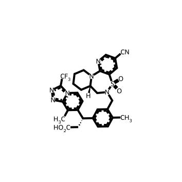 Cc1ccc([C@H](CC(=O)O)c2ccn3c(C(F)(F)F)nnc3c2C)cc1CN1C[C@@H]2CCCCN2c2ncc(C#N)cc2S1(=O)=O